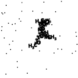 CCC(=O)CCCCCC(NC(=O)C1CN(C)C1)c1ncc(-c2cc3ccccc3n(C)c2=O)o1